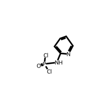 O=P(Cl)(Cl)Nc1ccccn1